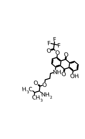 CC(C)[C@H](N)C(=O)OCCCNc1ccc(OC(=O)C(F)(F)F)c2c1C(=O)c1c(O)cccc1C2=O